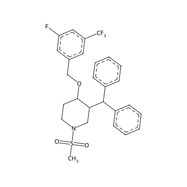 CS(=O)(=O)N1CCC(OCc2cc(F)cc(C(F)(F)F)c2)C(C(c2ccccc2)c2ccccc2)C1